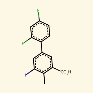 Cc1c(I)cc(-c2ccc(F)cc2F)cc1C(=O)O